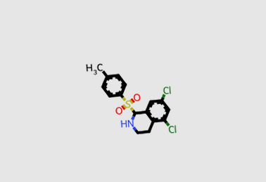 Cc1ccc(S(=O)(=O)C2NCCc3c(Cl)cc(Cl)cc32)cc1